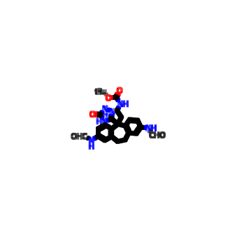 CC(C)(C)OC(=O)NCCC1(c2n[nH]c(=O)[nH]2)c2ccc(NC=O)cc2CCc2cc(NC=O)ccc21